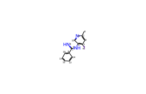 Cc1cc(I)c(NC(=N)c2ccccc2)cn1